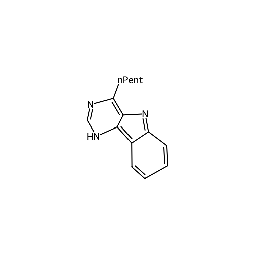 CCCCCc1nc[nH]c2c3ccccc3nc1-2